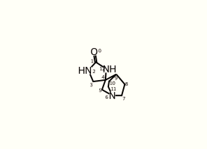 O=C1NCC2(CN3CCC2CC3)N1